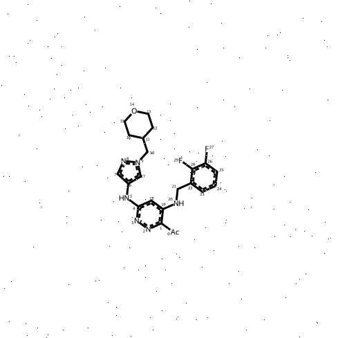 CC(=O)c1nnc(Nc2cnn(CC3CCOCC3)c2)cc1NCc1cccc(F)c1F